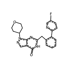 O=c1[nH]c(Cc2ccccc2-c2ccc(F)cn2)nc2c1cnn2C1CCOCC1